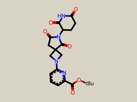 CC(C)(C)OC(=O)c1cccc(N2CC3(CC(=O)N(C4CCC(=O)NC4=O)C3=O)C2)n1